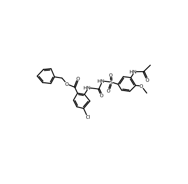 COc1ccc(S(=O)(=O)NC(=O)Nc2cc(Cl)ccc2C(=O)OCc2ccccc2)cc1NC(C)=O